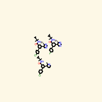 CC(C)c1ncncc1-c1cc(C(=O)NC(C)(C)C2CC2)cc(-c2ccc(Cl)cc2)c1.CC(C)c1ncncc1-c1cc(C(=O)NC(C)(C)C2CC2)cc(-c2ccc(F)cc2)c1.Cc1ncccc1-c1cc(C(=O)NC(C)(C)C2CC2)cc(-c2ccc(Cl)cc2)c1